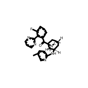 Cc1ccc(N[C@@H]2C[C@H]3CC[C@@H]2N(C(=O)c2cccc(F)c2-c2ncccn2)C3)nc1